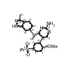 COc1ccc(S(=O)(=O)C(C)C)cc1-c1cnc(N)nc1N(C)c1ccc2c(C)n[nH]c2c1